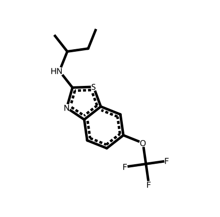 CCC(C)Nc1nc2ccc(OC(F)(F)F)cc2s1